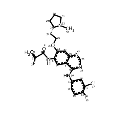 C=C(F)C(=O)Nc1cc2c(Nc3ccc(F)c(Cl)c3)ncnc2cc1OCC[C@@H]1CCCN1C